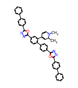 CC1C=C(c2cc(-c3nnc(-c4ccc(-c5ccccc5)cc4)o3)ccc2-c2ccc(-c3nnc(-c4ccc(-c5ccccc5)cc4)o3)cc2)C=CN1C